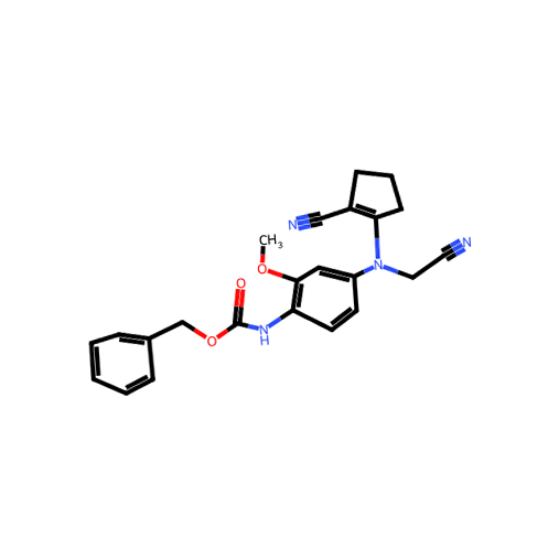 COc1cc(N(CC#N)C2=C(C#N)CCC2)ccc1NC(=O)OCc1ccccc1